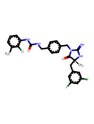 Cc1cccc(NC(=O)NCc2ccc(CN3C(=N)N[C@](C)(Cc4cc(F)cc(F)c4)C3=O)cc2)c1Cl